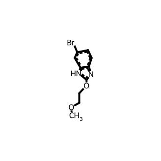 COCCOc1nc2ccc(Br)cc2[nH]1